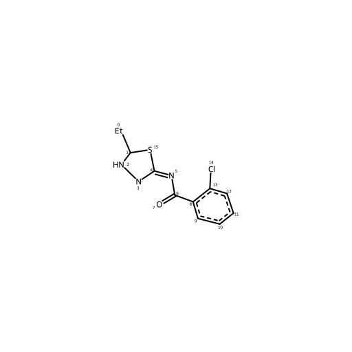 CCC1N[N]C(=NC(=O)c2ccccc2Cl)S1